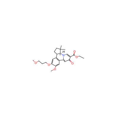 CCOC(=O)c1cn2c(cc1=O)-c1cc(OC)c(OCCCOC)cc1C1CCC(C)(C)[C@H]12